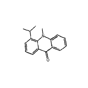 CC(C)c1cccc2c(=O)c3ccccc3n(C)c12